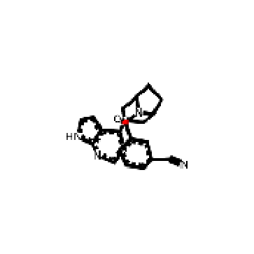 N#Cc1cccc(C(=O)N2C3CCC2CN(c2ncnc4[nH]ccc24)C3)c1